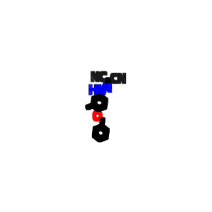 Cc1cc(NN=C(C#N)C#N)ccc1OCc1ccccc1